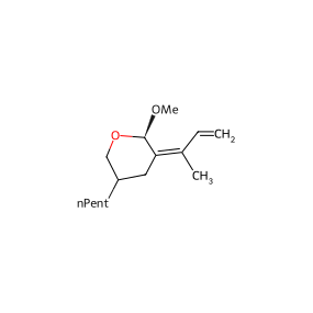 C=C/C(C)=C1/CC(CCCCC)CO[C@H]1OC